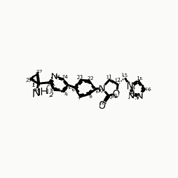 NC1(c2ccc(-c3ccc(N4C[C@H](Cn5ccnn5)OC4=O)cc3)cn2)CC1